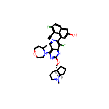 C#Cc1c(F)ccc2cc(O)cc(-c3ncc4c(N5CCOCCC5C)nc(OC[C@]56CCC[C@H]5N(C)CCC6)nc4c3F)c12